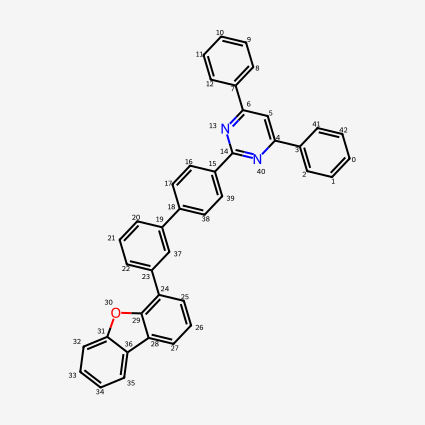 c1ccc(-c2cc(-c3ccccc3)nc(-c3ccc(-c4cccc(-c5cccc6c5oc5ccccc56)c4)cc3)n2)cc1